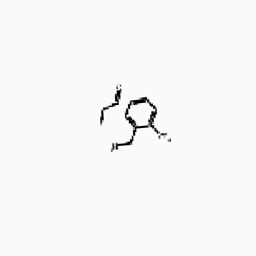 CCC=O.NCc1ccccc1C(F)(F)F